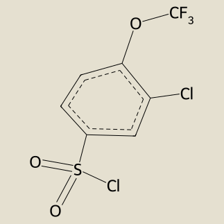 O=S(=O)(Cl)c1ccc(OC(F)(F)F)c(Cl)c1